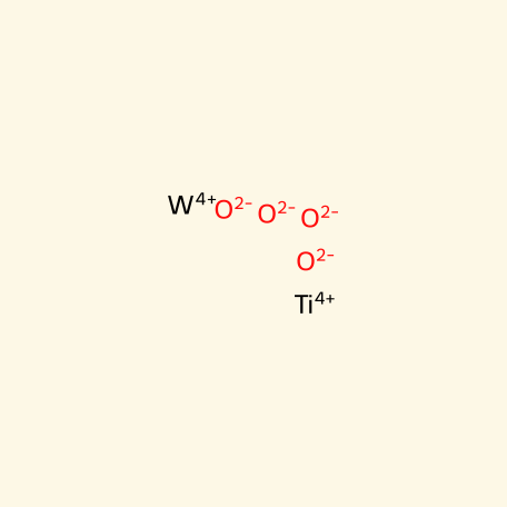 [O-2].[O-2].[O-2].[O-2].[Ti+4].[W+4]